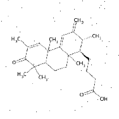 C=C1C=C2C3(C)C=C(C)C(=O)C(C)(C)C3CCC2(C)[C@H](CCCC(=O)O)[C@H]1C